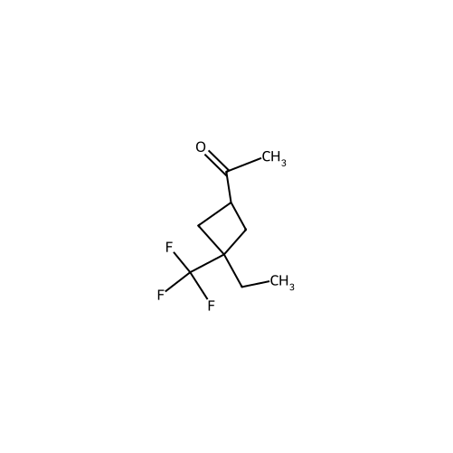 CCC1(C(F)(F)F)CC(C(C)=O)C1